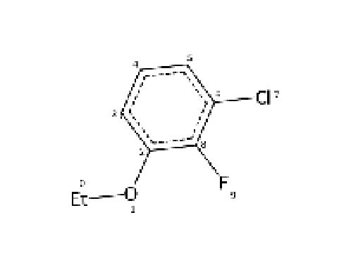 CCOc1[c]ccc(Cl)c1F